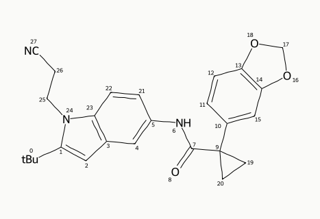 CC(C)(C)c1cc2cc(NC(=O)C3(c4ccc5c(c4)OCO5)CC3)ccc2n1CCC#N